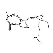 CC(C)C(=O)OC[C@]1(CO)C/C1=C/n1cnc2c(=O)[nH]c(N)nc21